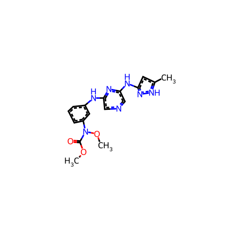 COC(=O)N(OC)c1cccc(Nc2cncc(Nc3cc(C)[nH]n3)n2)c1